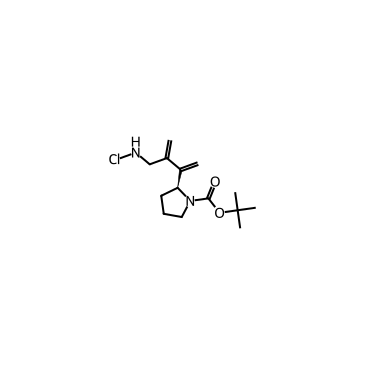 C=C(CNCl)C(=C)[C@@H]1CCCN1C(=O)OC(C)(C)C